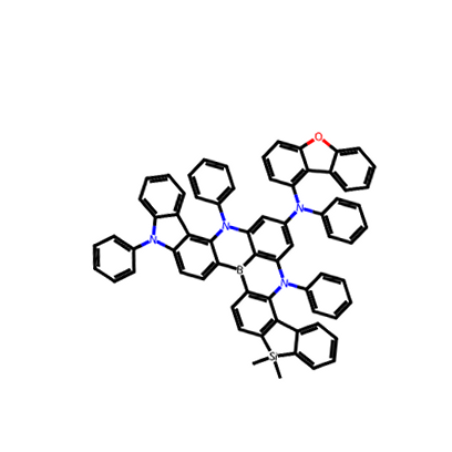 C[Si]1(C)c2ccccc2-c2c1ccc1c2N(c2ccccc2)c2cc(N(c3ccccc3)c3cccc4oc5ccccc5c34)cc3c2B1c1ccc2c(c1N3c1ccccc1)c1ccccc1n2-c1ccccc1